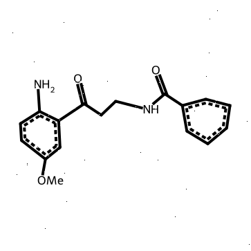 COc1ccc(N)c(C(=O)CCNC(=O)c2ccccc2)c1